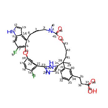 CN1CCCc2c(c(F)cc3[nH]ccc23)Oc2ccc(F)c(c2)-c2ncc([nH]2)C(C)(c2cccc(CCC(=O)O)c2)CCCOC1=O